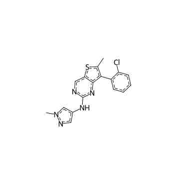 Cc1sc2cnc(Nc3cnn(C)c3)nc2c1-c1ccccc1Cl